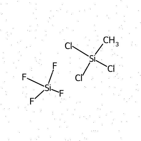 C[Si](Cl)(Cl)Cl.F[Si](F)(F)F